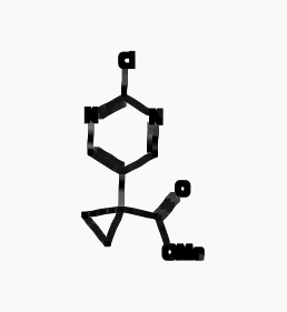 COC(=O)C1(c2cnc(Cl)nc2)CC1